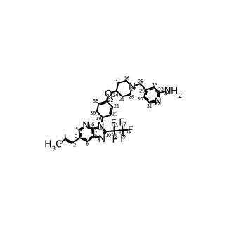 C/C=C/c1cnc2c(c1)nc(C(F)(F)C(F)(F)F)n2C1C=CC(OC2CCN(Cc3ccnc(N)c3)CC2)=CC1